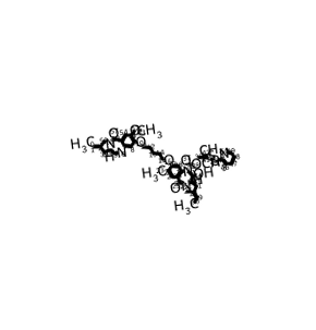 CC=C1C[C@H]2C=Nc3cc(OCCCCCOc4cc5c(cc4C)C(=O)N4CC(=CC)C[C@H]4C(O)N5C(=O)OCC(C)(C)SSc4ccccn4)c(OC)cc3C(=O)N2C1